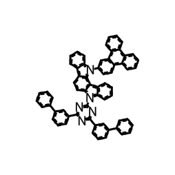 c1ccc(-c2cccc(-c3nc(-c4cccc(-c5ccccc5)c4)nc(-n4c5ccccc5c5c4ccc4c6ccccc6n(-c6ccc7c8ccccc8c8ccccc8c7c6)c45)n3)c2)cc1